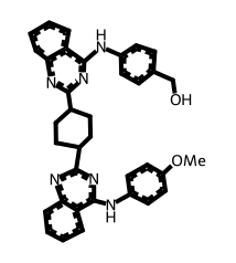 COc1ccc(Nc2nc(C3CCC(c4nc(Nc5ccc(CO)cc5)c5ccccc5n4)CC3)nc3ccccc23)cc1